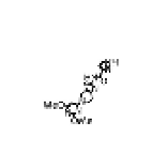 COc1cc(N2CCc3nc(NC(=O)c4cc[nH]n4)sc3C2)nc(OC)n1